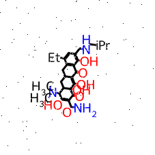 CCc1cc(CNCC(C)C)c(O)c2c1CC1CC3C(N(C)C)C(O)=C(C(N)=O)C(=O)C3(O)C(O)=C1C2=O